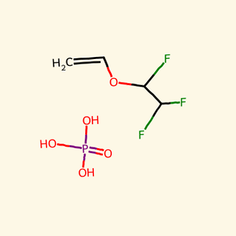 C=COC(F)C(F)F.O=P(O)(O)O